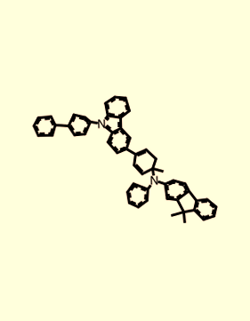 CC1(C)c2ccccc2-c2ccc(N(c3ccccc3)C3(C)C=CC(c4ccc5c(c4)c4ccccc4n5-c4ccc(-c5ccccc5)cc4)=CC3)cc21